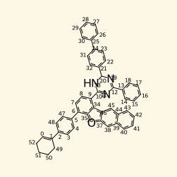 C1=C(c2ccc(-c3ccc(C4=NC(c5ccccc5)=NC(c5ccc(-c6ccccc6)cc5)N4)c4c3oc3cc5ccccc5cc34)cc2)CCCC1